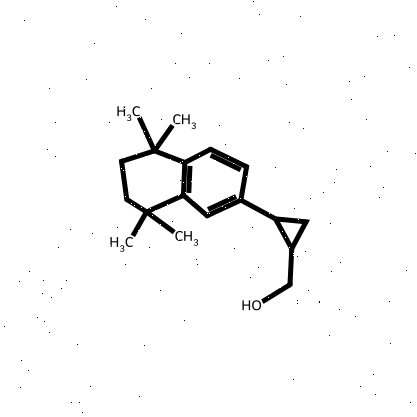 CC1(C)CCC(C)(C)c2cc(C3CC3CO)ccc21